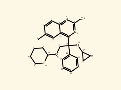 Cc1ccc2nc(Cl)nc(C(COC3CCCCO3)(OC3CC3)c3ccccc3)c2c1